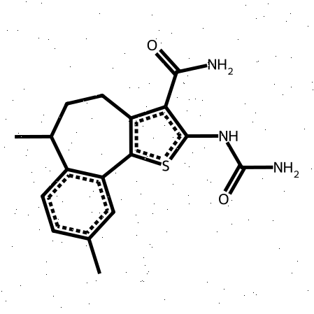 Cc1ccc2c(c1)-c1sc(NC(N)=O)c(C(N)=O)c1CCC2C